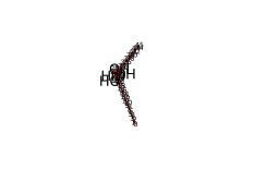 CCCCCCCCCCCCCCCCCCCCCC(O)C(=O)NC(CO)C(O)CCCCCCCCCCCCCCC